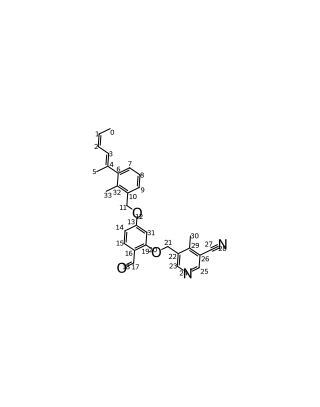 C/C=C\C=C(/C)c1cccc(COc2ccc(C=O)c(OCc3cncc(C#N)c3C)c2)c1C